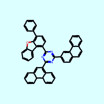 C1=CC2=CC(c3nc(-c4ccc5ccc6ccccc6c5c4)nc(-c4ccc(-c5ccccc5)c5oc6ccccc6c45)n3)=C3C=CC=CC3C2C=C1